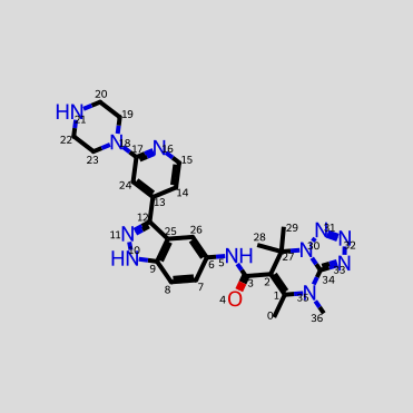 CC1=C(C(=O)Nc2ccc3[nH]nc(-c4ccnc(N5CCNCC5)c4)c3c2)C(C)(C)n2nnnc2N1C